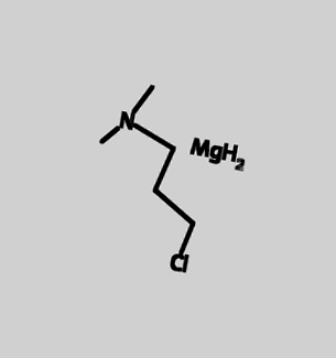 CN(C)CCCCl.[MgH2]